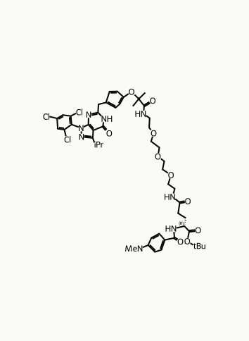 CNc1ccc(C(=O)N[C@H](CCC(=O)NCCOCCOCCOCCNC(=O)C(C)(C)Oc2ccc(Cc3nc4c(c(C(C)C)nn4-c4c(Cl)cc(Cl)cc4Cl)c(=O)[nH]3)cc2)C(=O)OC(C)(C)C)cc1